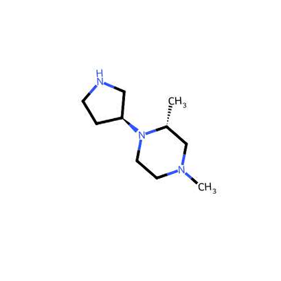 C[C@@H]1CN(C)CCN1[C@H]1CCNC1